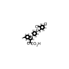 Cc1ccc2c(c1)c(C(=O)C(=O)O)cn2-c1ccc(OCc2ccc(Cl)cc2Cl)cc1